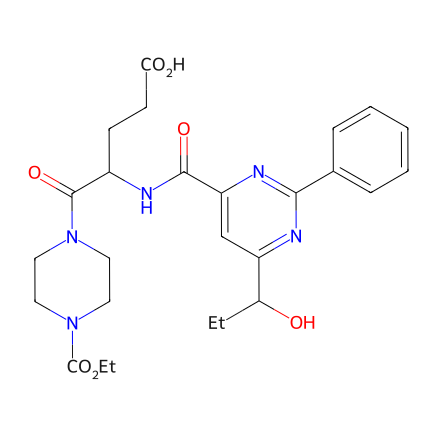 CCOC(=O)N1CCN(C(=O)C(CCC(=O)O)NC(=O)c2cc(C(O)CC)nc(-c3ccccc3)n2)CC1